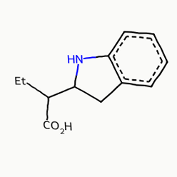 CCC(C(=O)O)C1Cc2ccccc2N1